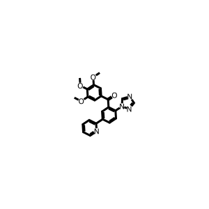 COc1cc(C(=O)c2cc(-c3ccccn3)ccc2-n2cncn2)cc(OC)c1OC